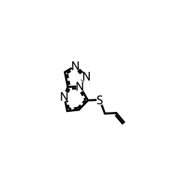 C=CCSc1ccnc2cnnn12